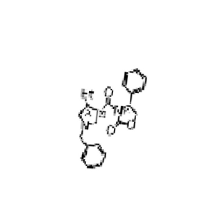 CC[C@@H]1CN(Cc2ccccc2)C[C@H]1C(=O)N1C(=O)OC[C@@H]1c1ccccc1